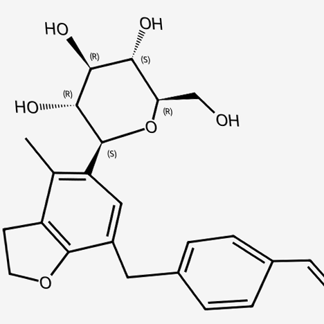 C=Cc1ccc(Cc2cc([C@@H]3O[C@H](CO)[C@@H](O)[C@H](O)[C@H]3O)c(C)c3c2OCC3)cc1